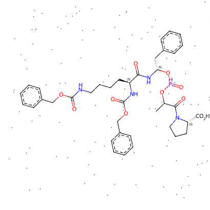 CC(O[PH](=O)O[C@@H](Cc1ccccc1)NC(=O)[C@H](CCCCNC(=O)OCc1ccccc1)NC(=O)OCc1ccccc1)C(=O)N1CCC[C@H]1C(=O)O